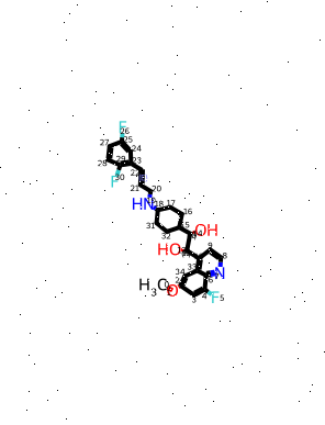 COc1cc(F)c2nccc([C@@H](O)[C@H](O)C3CCC(NC/C=C/c4cc(F)ccc4F)CC3)c2c1